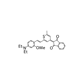 CCN(CC)c1ccc(C=CC2=CC(=C3C(=O)c4ccccc4C3=O)C=C(C)S2)c(OC)c1